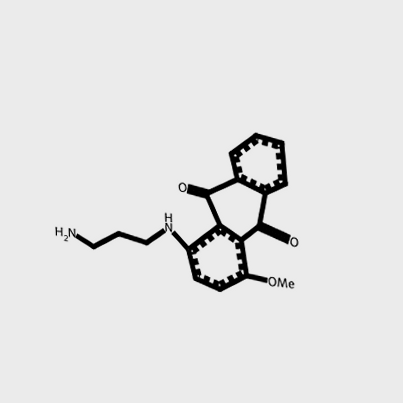 COc1ccc(NCCCN)c2c1C(=O)c1ccccc1C2=O